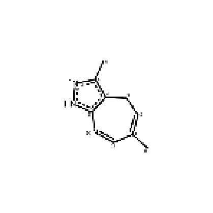 CC1=CCc2c(C)n[nH]c2N=C1